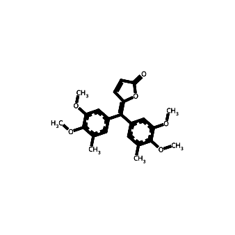 COc1cc(C(=C2C=CC(=O)O2)c2cc(C)c(OC)c(OC)c2)cc(C)c1OC